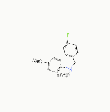 CCCCCCCN(Cc1ccc(F)cc1)c1ccc(OC)cc1